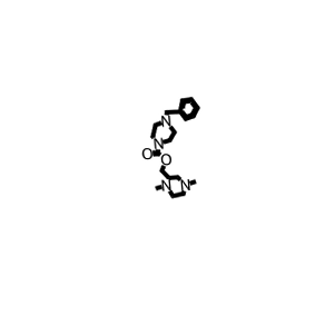 CN1CCN(C)C(COC(=O)N2CCN(Cc3ccccc3)CC2)C1